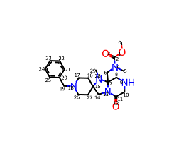 COC(=O)N(C)CC12CNCC(=O)N1CC1(CCN(Cc3ccccc3)CC1)N2C